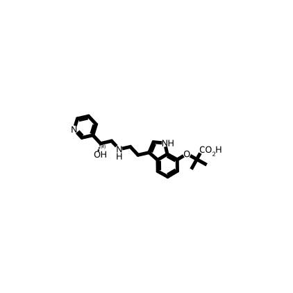 CC(C)(Oc1cccc2c(CCNC[C@H](O)c3cccnc3)c[nH]c12)C(=O)O